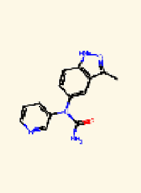 Cc1n[nH]c2ccc(N(C(N)=O)c3cccnc3)cc12